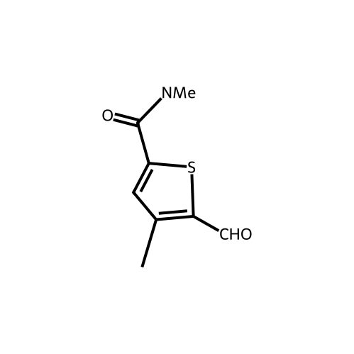 CNC(=O)c1cc(C)c(C=O)s1